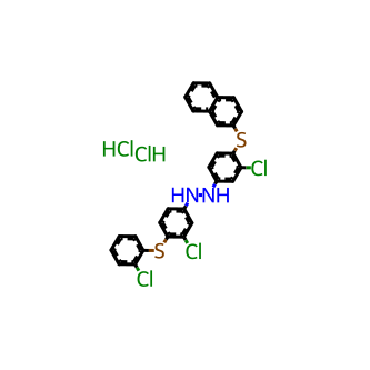 Cl.Cl.Clc1cc(NNc2ccc(Sc3ccccc3Cl)c(Cl)c2)ccc1Sc1ccc2ccccc2c1